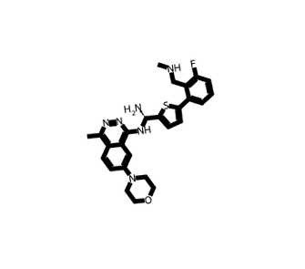 CNCc1c(F)cccc1-c1ccc([C@@H](N)Nc2nnc(C)c3ccc(N4CCOCC4)cc23)s1